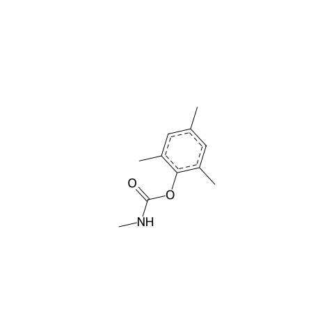 CNC(=O)Oc1c(C)cc(C)cc1C